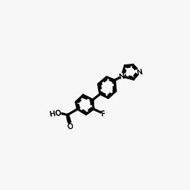 O=C(O)c1ccc(-c2ccc(-n3ccnc3)cc2)c(F)c1